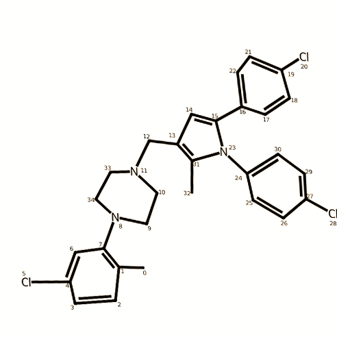 Cc1ccc(Cl)cc1N1CCN(Cc2cc(-c3ccc(Cl)cc3)n(-c3ccc(Cl)cc3)c2C)CC1